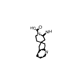 N=C1CC2(CCN1C(=O)O)Cc1cccnc1C2